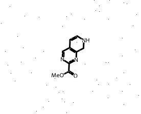 COC(=O)c1ncc2c(n1)CNC=C2